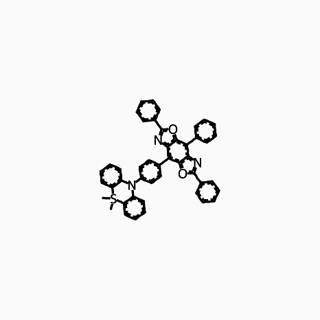 CS1(C)c2ccccc2N(c2ccc(-c3c4nc(-c5ccccc5)oc4c(-c4ccccc4)c4nc(-c5ccccc5)oc34)cc2)c2ccccc21